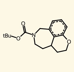 CC(C)(C)OC(=O)N1CCC2CCOc3cccc(c32)C1